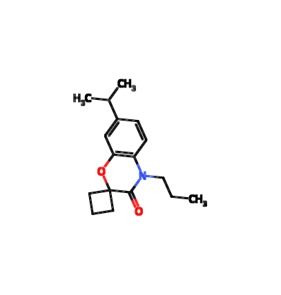 CCCN1C(=O)C2(CCC2)Oc2cc(C(C)C)ccc21